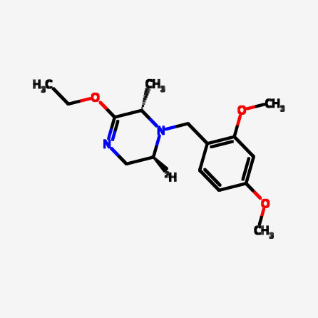 [2H][C@H]1CN=C(OCC)[C@H](C)N1Cc1ccc(OC)cc1OC